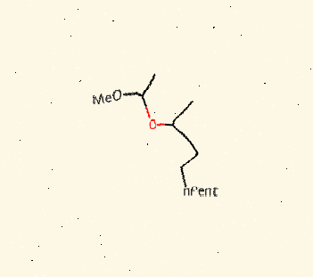 CCCCCCCC(C)OC(C)OC